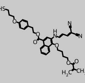 C=C(C)C(=O)OCCCCOc1c(N/C=C/C=C(C#N)C#N)cc(C(=O)OCCc2ccc(OCCCS)cc2)c2ccccc12